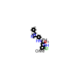 COc1ccc2cc([C@H](C)Nc3cccc(-c4cncn4Cc4ccccc4)c3)c(=O)[nH]c2c1Cl